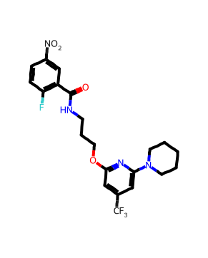 O=C(NCCCOc1cc(C(F)(F)F)cc(N2CCCCC2)n1)c1cc([N+](=O)[O-])ccc1F